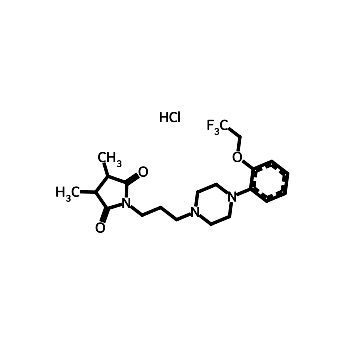 CC1C(=O)N(CCCN2CCN(c3ccccc3OCC(F)(F)F)CC2)C(=O)C1C.Cl